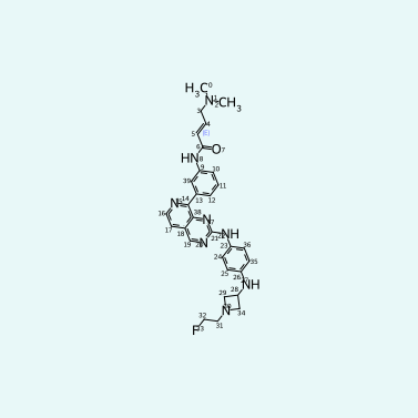 CN(C)C/C=C/C(=O)Nc1cccc(-c2nccc3cnc(Nc4ccc(NC5CN(CCF)C5)cc4)nc23)c1